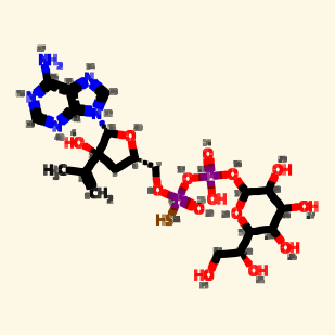 C=C(C)[C@@]1(O)C[C@@H](COP(=O)(S)OP(=O)(O)OC2OC([C@@H](O)CO)C(O)C(O)C2O)O[C@H]1n1cnc2c(N)ncnc21